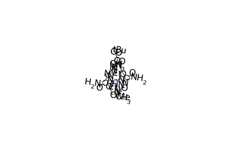 CCn1nc(C)cc1C(=O)Nc1nc2cc(C(N)=O)cc(OCCCNC(=O)OCCC(=O)OC(C)(C)C)c2n1C/C=C/Cn1c2nc(-c3cc(C)nn3CC)ncc2c2cc(C(N)=O)cc(OCCCOC)c21